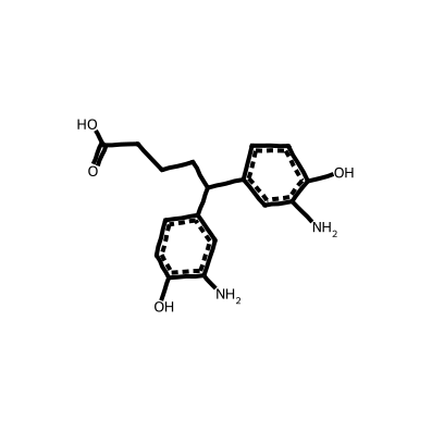 Nc1cc(C(CCCC(=O)O)c2ccc(O)c(N)c2)ccc1O